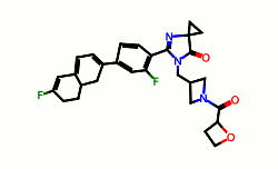 O=C(C1CCO1)N1CC(CN2C(=O)C3(CC3)N=C2c2ccc(C3=CC=C4C=C(F)CCC4C3)cc2F)C1